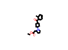 CCOC(=O)CC1CCCN1c1ccc(C(=O)c2ccccc2C)cc1